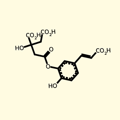 O=C(O)C=Cc1ccc(O)c(OC(=O)CC(O)(CC(=O)O)C(=O)O)c1